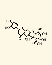 COc1c(OC2O[C@H](C(=O)O)[C@@H](O)[C@H](O)[C@H]2O)cc2oc(-c3ccc(O)c(O)c3)cc(=O)c2c1O